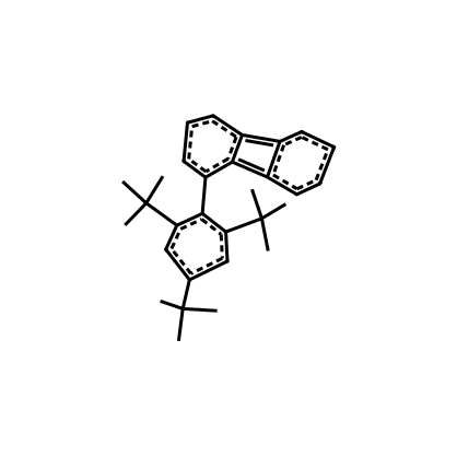 CC(C)(C)c1cc(C(C)(C)C)c(-c2cccc3c2=c2ccccc2=3)c(C(C)(C)C)c1